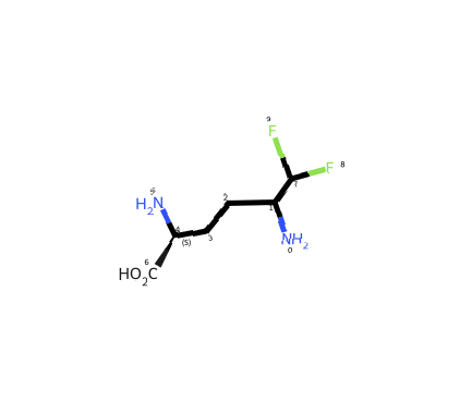 NC(CC[C@H](N)C(=O)O)C(F)F